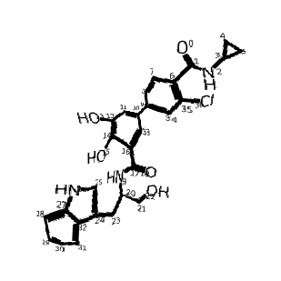 O=C(NC1CC1)c1ccc(-c2cc(O)c(O)c(C(=O)N[C@@H](CO)Cc3c[nH]c4ccccc34)c2)cc1Cl